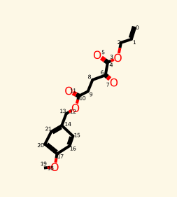 C=CCOC(=O)C(=O)CCC(=O)OCc1ccc(OC)cc1